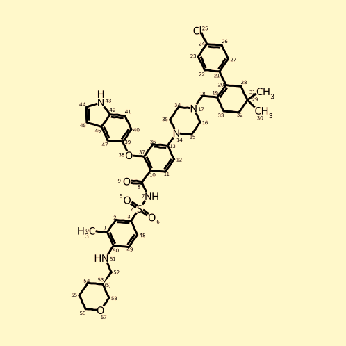 Cc1cc(S(=O)(=O)NC(=O)c2ccc(N3CCN(CC4=C(c5ccc(Cl)cc5)CC(C)(C)CC4)CC3)cc2Oc2ccc3[nH]ccc3c2)ccc1NC[C@@H]1CCCOC1